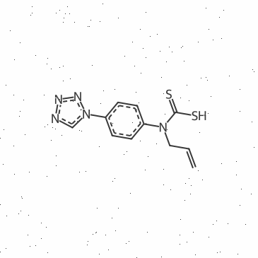 C=CCN(C(=S)S)c1ccc(-n2cnnn2)cc1